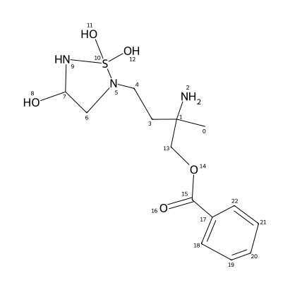 CC(N)(CCN1CC(O)NS1(O)O)COC(=O)c1ccccc1